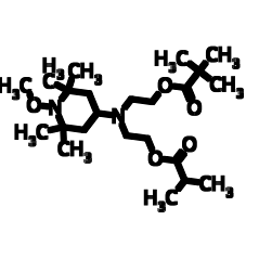 CON1C(C)(C)CC(N(CCOC(=O)C(C)C)CCOC(=O)C(C)(C)C)CC1(C)C